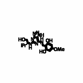 COc1cc(O)c(CNc2nc(N[C@@H](CO)C(C)C)nc3nn[nH]c23)c(O)c1